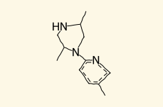 Cc1ccc(N2CC(C)NCC2C)nc1